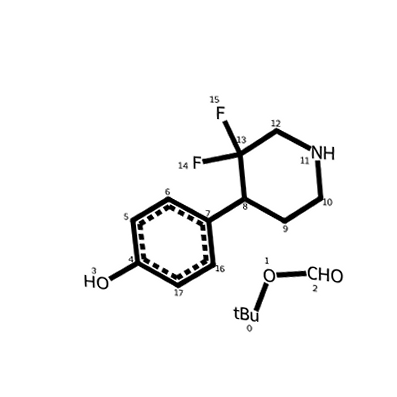 CC(C)(C)OC=O.Oc1ccc(C2CCNCC2(F)F)cc1